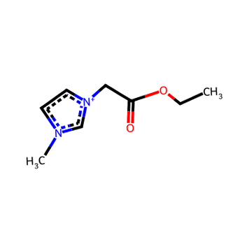 CCOC(=O)C[n+]1ccn(C)c1